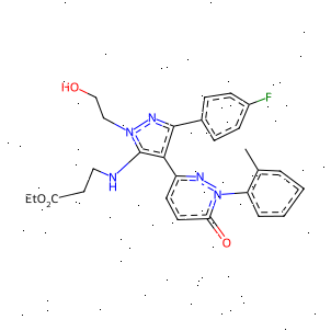 CCOC(=O)CCNc1c(-c2ccc(=O)n(-c3ccccc3C)n2)c(-c2ccc(F)cc2)nn1CCO